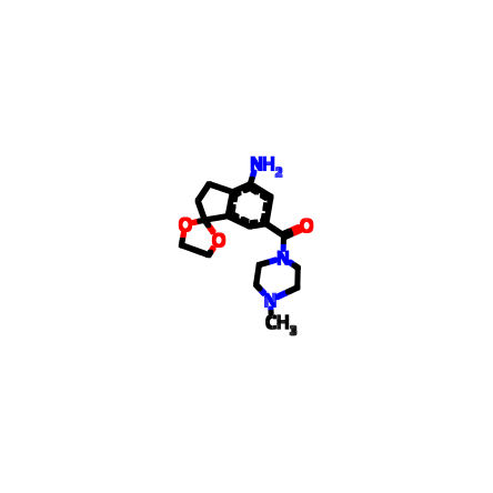 CN1CCN(C(=O)c2cc(N)c3c(c2)C2(CC3)OCCO2)CC1